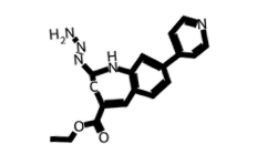 CCOC(=O)C1=Cc2ccc(-c3ccncc3)cc2NC(N=NN)C1